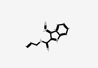 C=CCOC(=O)C1=Nc2ccccc2C1=S=O